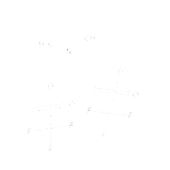 C[N+](C)=COS(=O)(=O)C(F)(F)F.O=S(=O)([O-])C(F)(F)F